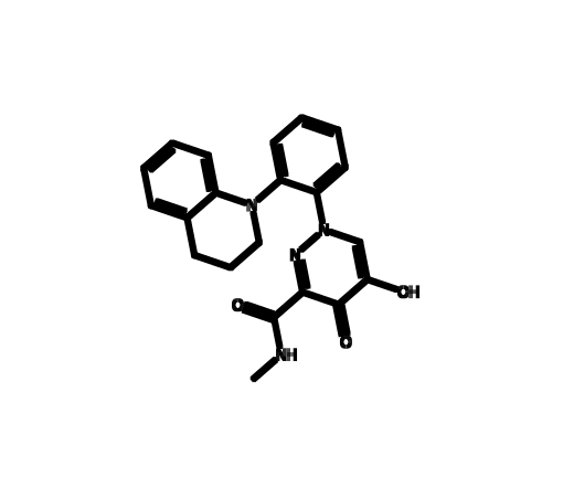 CNC(=O)c1nn(-c2ccccc2N2CCCc3ccccc32)cc(O)c1=O